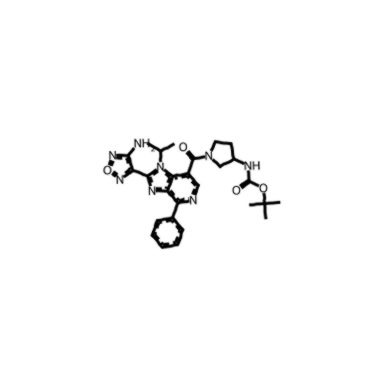 CC(C)n1c(-c2nonc2N)nc2c(-c3ccccc3)ncc(C(=O)N3CCC(NC(=O)OC(C)(C)C)C3)c21